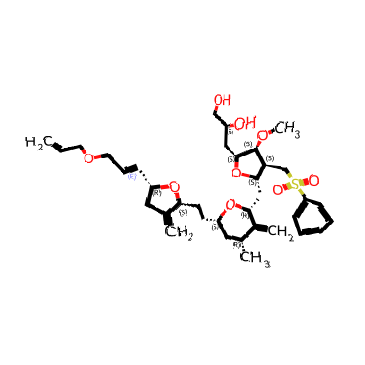 C=CCOC/C=C/[C@H]1CC(=C)[C@H](CC[C@H]2C[C@@H](C)C(=C)[C@@H](C[C@@H]3O[C@@H](C[C@H](O)CO)[C@@H](OC)[C@H]3CS(=O)(=O)c3ccccc3)O2)O1